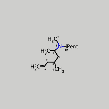 C=CCC(C)CC(C)N(C)C(C)CCC